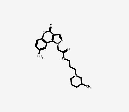 Cc1ccc2oc(=O)c3cnn(CC(=O)NCCCN4CCCC(C)C4)c3c2c1